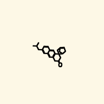 CC(C)Cc1ccc2cc3c(cc2c1)CC(=O)CC31CC2=CCC1C2